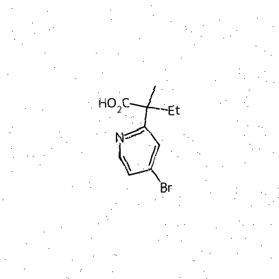 CCC(C)(C(=O)O)c1cc(Br)ccn1